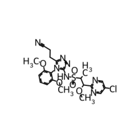 COc1cccc(OC)c1-n1c(CCC#N)nnc1NS(=O)(=O)C(C)C(OC)c1ncc(Cl)cn1